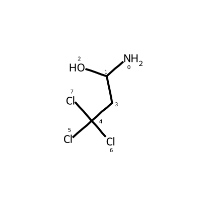 NC(O)CC(Cl)(Cl)Cl